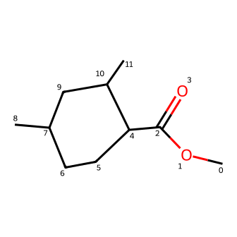 COC(=O)C1CCC(C)CC1C